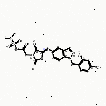 CN(C)S(=O)(=O)NC(=O)CN1C(=O)S/C(=C\c2ccc3c(cnn3Cc3ccc(Cl)cc3C(F)(F)F)c2)C1=O